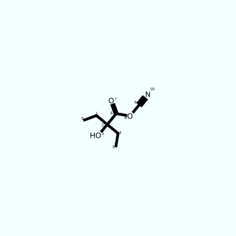 CCC(O)(CC)C(=O)OC#N